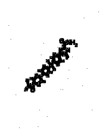 Cc1nc(C(N)=O)nn1-c1ccc(C(C)(C)c2ccc(-c3ccc(C(=O)N(C)C)cc3)cc2)cc1